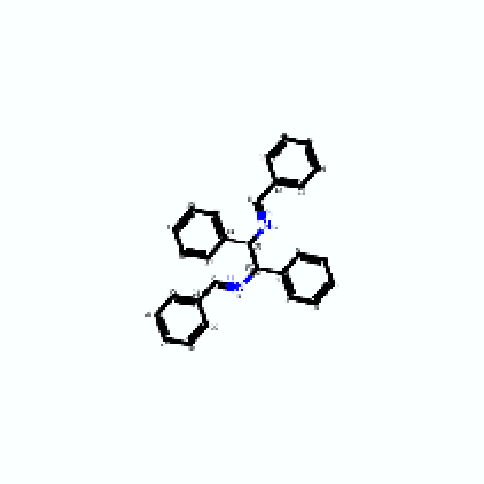 C(=N\[C@H](c1ccccc1)[C@H](/N=C/c1ccccc1)c1ccccc1)/c1ccccc1